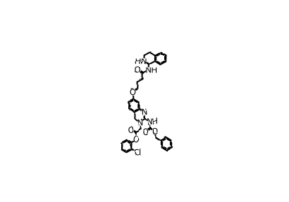 O=C(CCCOc1ccc2c(c1)N=C(NC(=O)OCc1ccccc1)N(CC(=O)Oc1ccccc1Cl)C2)NC1NCCc2ccccc21